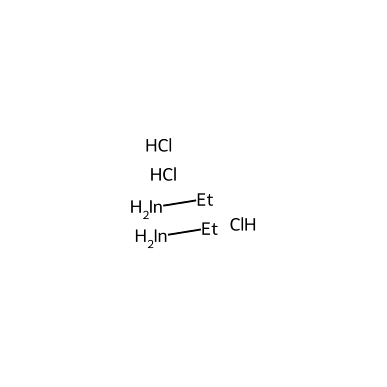 C[CH2][InH2].C[CH2][InH2].Cl.Cl.Cl